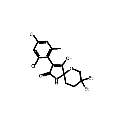 CCC1(CC)CCC2(NC(=O)C(c3c(C)cc(Cl)cc3Cl)=C2O)OC1